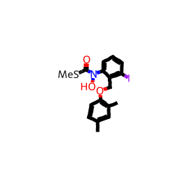 CSC(=O)N(O)c1cccc(I)c1COc1ccc(C)cc1C